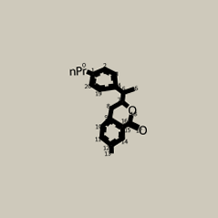 CCCc1ccc(C(C)C2Cc3ccc(C)cc3C(=O)O2)cc1